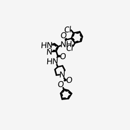 O=C(NC1CCN(C(=O)Oc2ccccc2)CC1)c1n[nH]cc1NC(=O)c1c(Cl)cccc1Cl